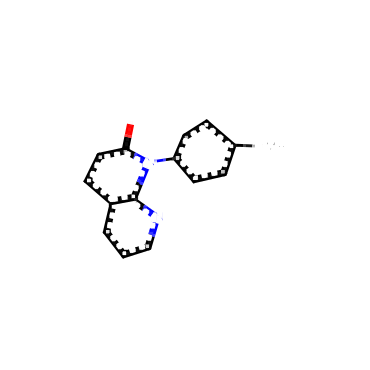 COc1ccc(-n2c(=O)ccc3cccnc32)cc1